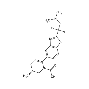 C[C@H]1CC=C(c2ccc3sc(C(F)(F)CN(C)C)nc3c2)N(C(=O)O)C1